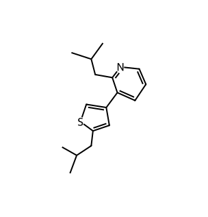 CC(C)Cc1cc(-c2cccnc2CC(C)C)cs1